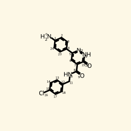 Nc1ccc(-c2cc(C(=O)NCc3ccc(Cl)cc3)c(=O)[nH]n2)cc1